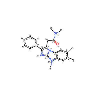 Cc1cc2c(cc1C)n1c(CC(=O)N(C)C)c(-c3ccccc3)nc1n2C